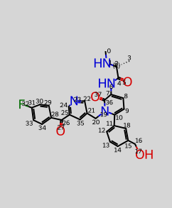 CN[C@H](C)C(=O)Nc1ccc(-c2cccc(CO)c2)n(Cc2cncc(C(=O)c3ccc(F)cc3)c2)c1=O